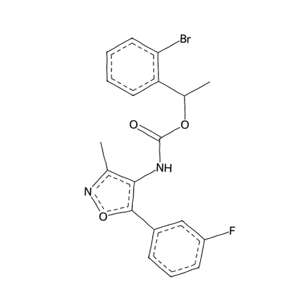 Cc1noc(-c2cccc(F)c2)c1NC(=O)OC(C)c1ccccc1Br